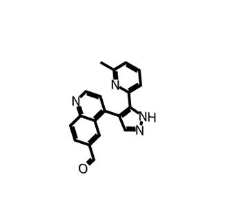 Cc1cccc(-c2[nH]ncc2-c2ccnc3ccc(C=O)cc23)n1